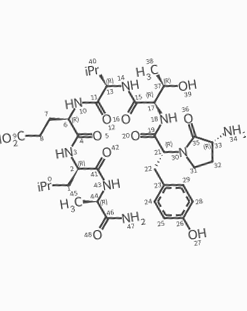 CC(C)C[C@@H](NC(=O)[C@@H](CCC(=O)O)NC(=O)[C@H](NC(=O)[C@H](NC(=O)[C@@H](Cc1ccc(O)cc1)N1CC[C@@H](N)C1=O)[C@@H](C)O)C(C)C)C(=O)N[C@H](C)C(N)=O